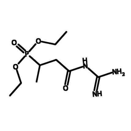 CCOP(=O)(OCC)C(C)CC(=O)NC(=N)N